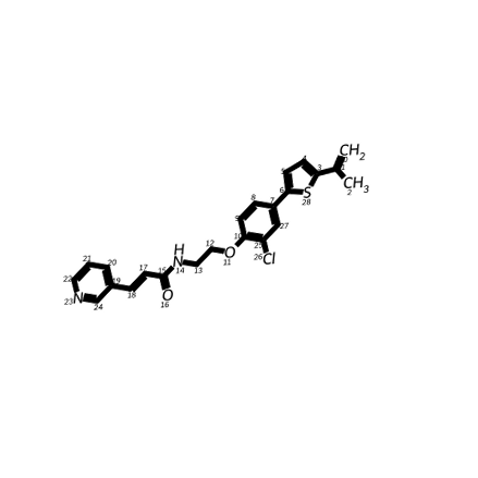 C=C(C)c1ccc(-c2ccc(OCCNC(=O)/C=C/c3cccnc3)c(Cl)c2)s1